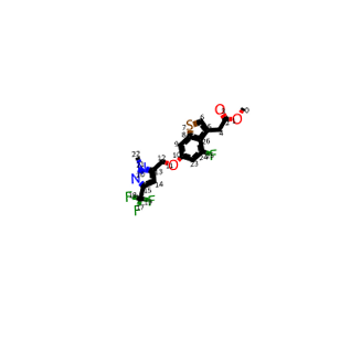 COC(=O)Cc1csc2cc(OCc3cc(C(F)(F)F)nn3C)cc(F)c12